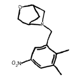 Cc1cc([N+](=O)[O-])cc(CN2CC3CC2CO3)c1C